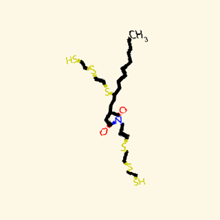 CCCCCCCCCC(CCC1CC(=O)N(CCCSCCSCCS)C1=O)SCCSCCS